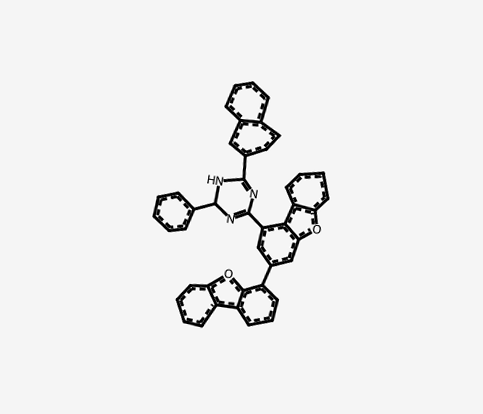 c1ccc(C2N=C(c3cc(-c4cccc5c4oc4ccccc45)cc4oc5ccccc5c34)N=C(c3ccc4ccccc4c3)N2)cc1